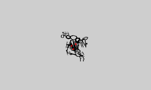 CCCC(CC1(c2nnn[nH]2)c2ccc(C(=O)NC)cc2CCc2cc(C(=O)NC)ccc21)NCC(=O)N1C(C#N)C[C@@H]2C[C@@H]21